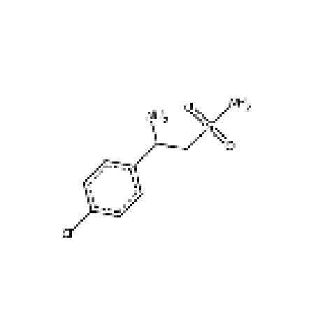 NC(CS(N)(=O)=O)c1ccc(Cl)cc1